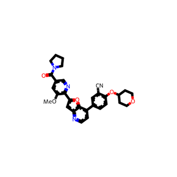 COc1cc(C(=O)N2CCCC2)cnc1-c1cc2nccc(-c3ccc(OC4CCOCC4)c(C#N)c3)c2o1